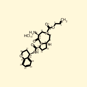 C=CCOC(=O)N1CC[C@H]2CC[C@@H](C(=O)N[C@@H]3CCOc4ccccc43)N2C(=O)[C@@H](N)C1.Cl